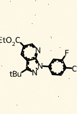 CCOC(=O)c1cnc2c(c1)c(C(C)(C)C)nn2-c1ccc(Cl)c(F)c1